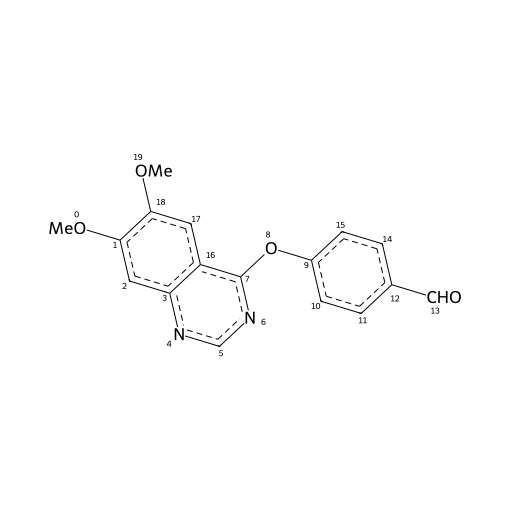 COc1cc2ncnc(Oc3ccc(C=O)cc3)c2cc1OC